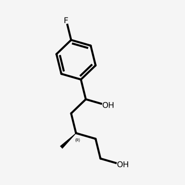 C[C@H](CCO)CC(O)c1ccc(F)cc1